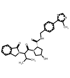 Cc1ncsc1-c1ccc(CNC(=S)[C@@H]2C[C@@H](O)CN2C(=O)C(C(C)C)N2Cc3ccccc3C2=O)cc1